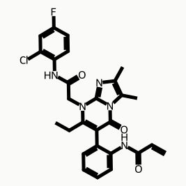 C=CC(=O)Nc1ccccc1-c1c(CC)n(CC(=O)Nc2ccc(F)cc2Cl)c2nc(C)c(C)n2c1=O